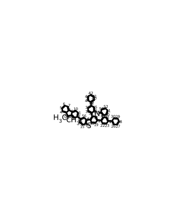 CC1(C)c2ccccc2-c2ccc(-c3ccc4sc5cc(-c6ccc(-c7ccccc7)cc6)c6c(c7ccc(-c8ccccc8)cc7n6-c6ccccc6)c5c4c3)cc21